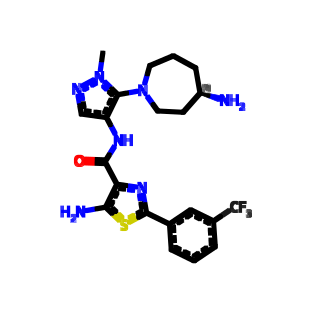 Cn1ncc(NC(=O)c2nc(-c3cccc(C(F)(F)F)c3)sc2N)c1N1CCC[C@@H](N)CC1